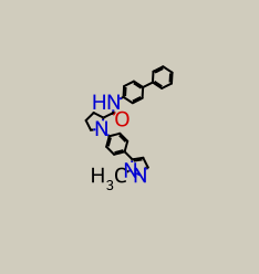 Cn1nccc1-c1ccc(N2CCCC2C(=O)Nc2ccc(-c3ccccc3)cc2)cc1